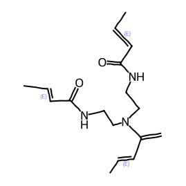 C=C(/C=C/C)N(CCNC(=O)/C=C/C)CCNC(=O)/C=C/C